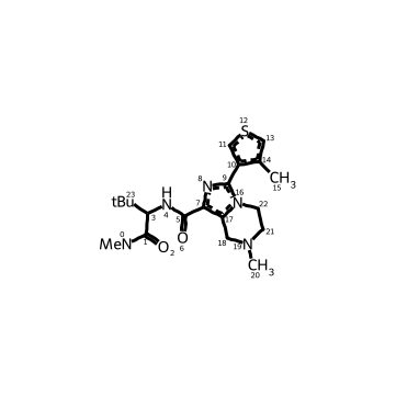 CNC(=O)C(NC(=O)c1nc(-c2cscc2C)n2c1CN(C)CC2)C(C)(C)C